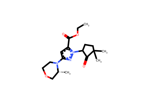 CCOC(=O)c1cc(N2CCOC[C@H]2C)nn1C1CCC(C)(C)C1=O